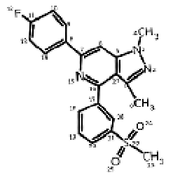 Cc1nn(C)c2cc(-c3ccc(F)cc3)nc(-c3cccc(S(C)(=O)=O)c3)c12